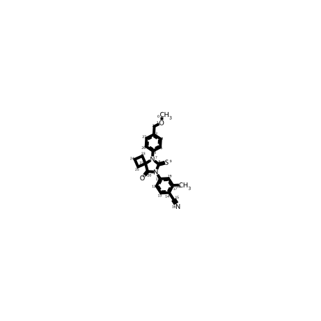 COCc1ccc(N2C(=S)N(c3ccc(C#N)c(C)c3)C(=O)C23CCC3)cc1